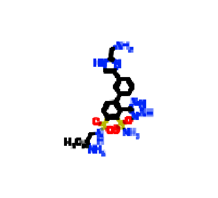 C[C@@H](N)CNS(=O)(=O)c1ccc(-c2cccc(-c3c[nH]c(CN)n3)c2)c(-c2nn[nH]n2)c1S(N)(=O)=O